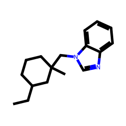 CCC1CCCC(C)(Cn2cnc3ccccc32)C1